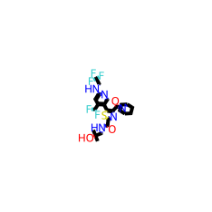 CC(C)(O)CNC(=O)c1nc(C(=O)N2C3CCC2CC3)c(-c2cnc(NCC(F)(F)F)cc2C(F)F)s1